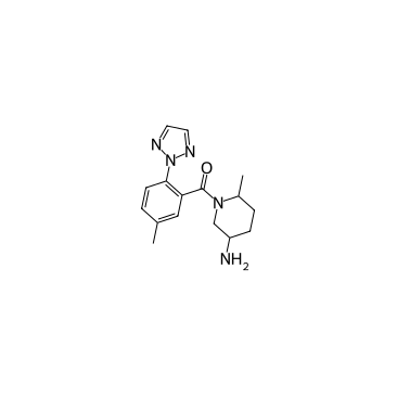 Cc1ccc(-n2nccn2)c(C(=O)N2CC(N)CCC2C)c1